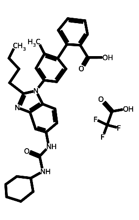 CCCCc1nc2cc(NC(=O)NC3CCCCC3)ccc2n1-c1ccc(-c2ccccc2C(=O)O)c(C)c1.O=C(O)C(F)(F)F